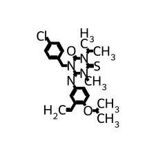 C=Cc1cc(/N=c2\n(C)c(=S)n(C(C)C)c(=O)n2Cc2ccc(Cl)cc2)ccc1OC(C)C